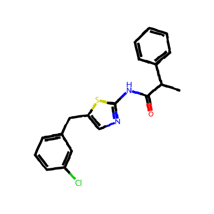 CC(C(=O)Nc1ncc(Cc2cccc(Cl)c2)s1)c1ccccc1